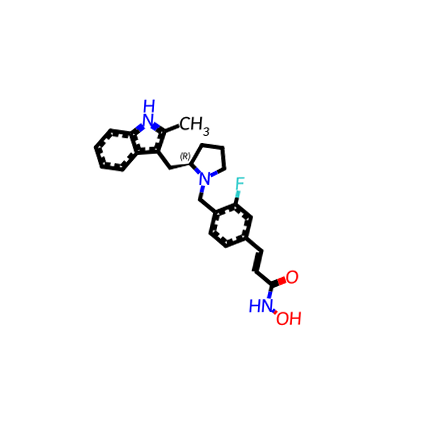 Cc1[nH]c2ccccc2c1C[C@H]1CCCN1Cc1ccc(C=CC(=O)NO)cc1F